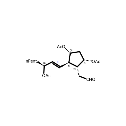 CCCCC[C@@H](/C=C/[C@@H]1[C@@H](CC=O)[C@@H](OC(C)=O)C[C@H]1OC(C)=O)OC(C)=O